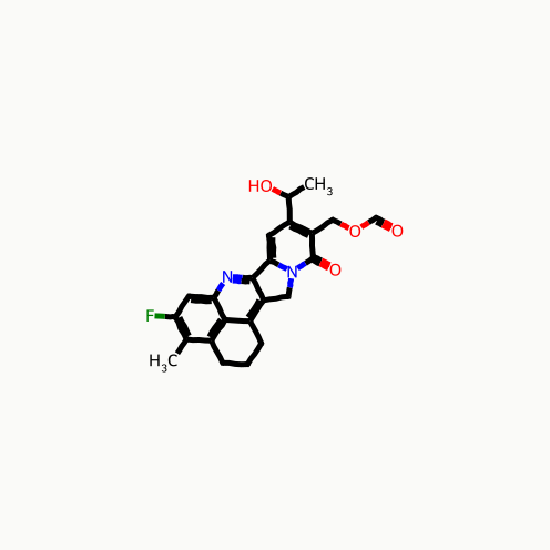 Cc1c(F)cc2nc3c(c4c2c1CCC4)Cn1c-3cc(C(C)O)c(COC=O)c1=O